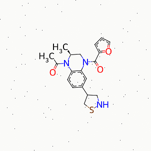 CC(=O)N1c2ccc(C3CNSC3)cc2N(C(=O)c2ccco2)C[C@@H]1C